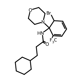 O=C(CCC1CCCCC1)NC1(N2CCOCC2)C(C(F)(F)F)=CC=CC1Br